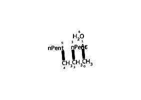 CC(C)=O.CCCCCC.CCCCCC.O